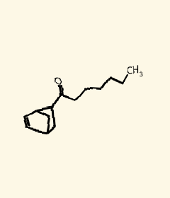 CCCCCCC(=O)C1CC2C=CC1C2